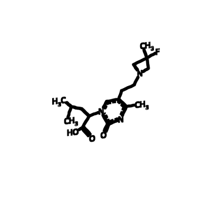 Cc1nc(=O)n(C(CC(C)C)C(=O)O)cc1CCN1CC(C)(F)C1